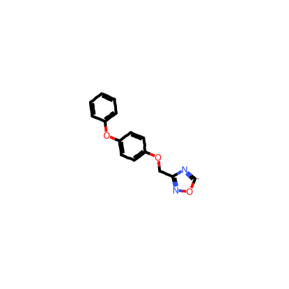 [c]1nc(COc2ccc(Oc3ccccc3)cc2)no1